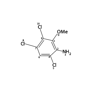 COc1c(N)c(Cl)cc(Cl)c1Cl